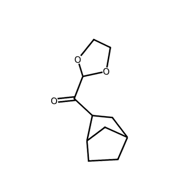 O=C(C1OCCO1)C1CC2CCC1C2